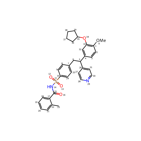 COc1ccc(C(Cc2ccc(S(=O)(=O)NC(=O)c3ccccc3C)cc2)c2ccncc2)cc1OC1CCCC1